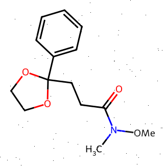 CON(C)C(=O)CCC1(c2ccccc2)OCCO1